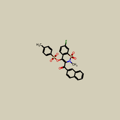 Cc1ccc(S(=O)(=O)OC2=C(C(=O)c3ccc4ccccc4c3)N(C)S(=O)(=O)c3cc(F)ccc32)cc1